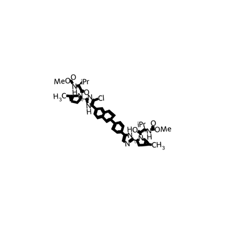 COC(=O)N[C@H](C(=O)N1C2C(C)C2C[C@H]1c1ncc(-c2ccc(-c3ccc4cc(-c5[nH]c([C@@H]6CC7C(C)C7N6C(=O)[C@@H](NC(=O)OC)C(C)C)nc5Cl)ccc4c3)cc2)[nH]1)C(C)C